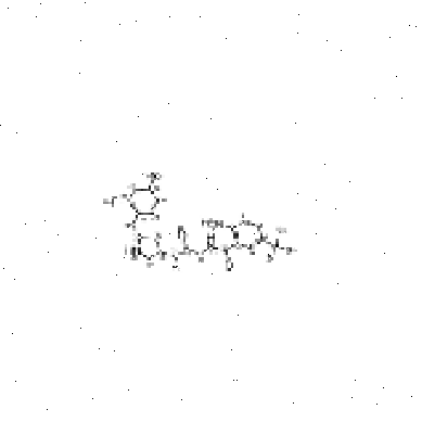 Nc1ccc(C(F)(F)F)cc1C(=O)NCC(=O)NC1CNC(Cc2ccc(Br)cc2F)C1